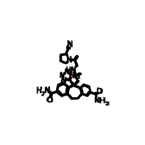 C=C(CNC(C)(C)CC1(c2nnn[nH]2)c2ccc(C(N)=O)cc2CCc2cc(C(N)=O)ccc21)N1CCCC1C#N